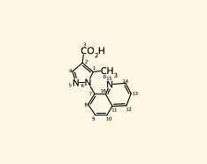 Cc1c(C(=O)O)cnn1-c1cccc2cccnc12